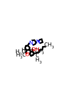 CCCCCCC(C)(C)c1ccc2c(c1O)[C@H]1CC(CN3CCC(N4CCCC4)CC3)=CC[C@@H]1C(C)(C)O2